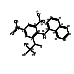 CC(c1cc([N+](=O)[O-])cc([N+](=O)[O-])c1Nc1cccc2ccccc12)C(F)(F)F